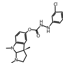 CN1CC[C@@]2(C)c3cc(OC(=O)NNc4cccc(Cl)c4)ccc3N(C)C12